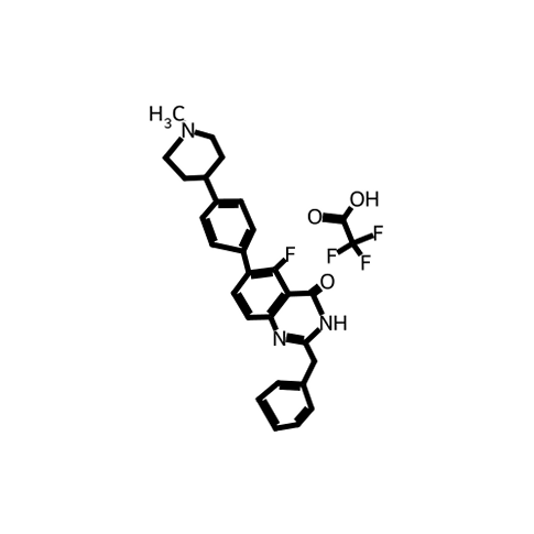 CN1CCC(c2ccc(-c3ccc4nc(Cc5ccccc5)[nH]c(=O)c4c3F)cc2)CC1.O=C(O)C(F)(F)F